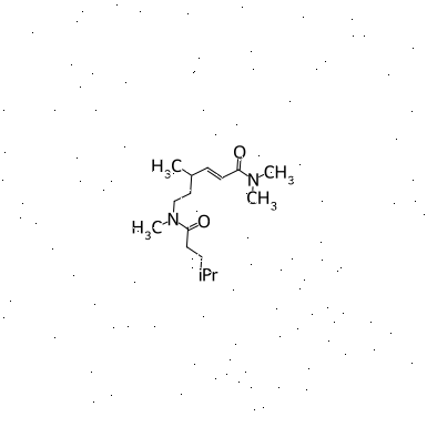 CC(C)CCC(=O)N(C)CCC(C)/C=C/C(=O)N(C)C